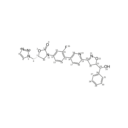 O=C1O[C@@H](Cn2ccnn2)CN1c1ccc(-c2ccc(C3=NOC(C(O)c4ccccc4)C3)nc2)c(F)c1